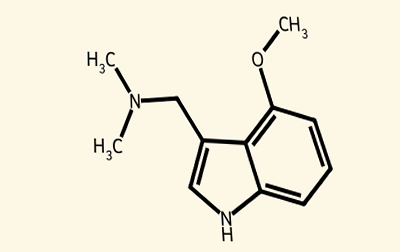 COc1cccc2[nH]cc(CN(C)C)c12